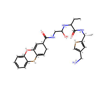 CCC(NC(O)CNC(=O)C1C=C2Oc3ccccc3SC2=CC1)C(=O)N[C@H](C)c1cc(CN)cs1